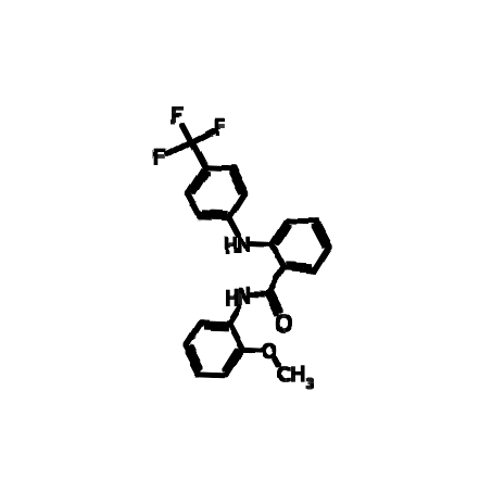 COc1ccccc1NC(=O)c1ccccc1Nc1ccc(C(F)(F)F)cc1